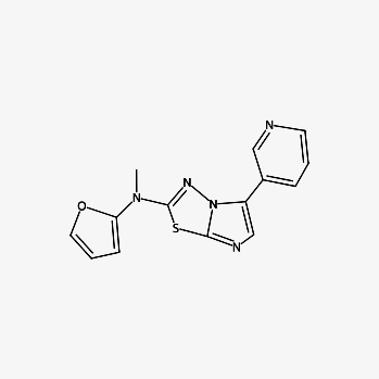 CN(c1ccco1)c1nn2c(-c3cccnc3)cnc2s1